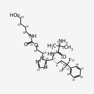 CC(C)(N)C(=O)N[C@H](CCC(F)(F)c1ccccc1)c1ncnn1CCOC(=O)NCCCCO